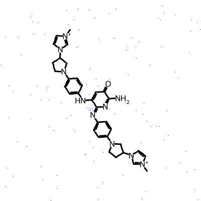 C[n+]1ccn(C2CCN(c3ccc(/N=C4\N=C(N)C(=O)C=C4Nc4ccc(N5CCC(n6cc[n+](C)c6)C5)cc4)cc3)C2)c1